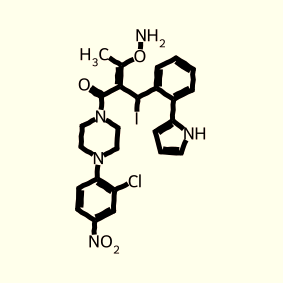 C/C(ON)=C(\C(=O)N1CCN(c2ccc([N+](=O)[O-])cc2Cl)CC1)C(I)c1ccccc1-c1ccc[nH]1